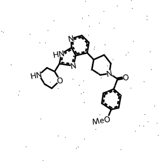 COc1ccc(C(=O)N2CCC(c3ccnc4[nH]c(C5CNCCO5)nc34)CC2)cc1